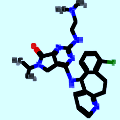 CC(C)N1Cc2c(NC3c4cccnc4CCc4c(F)cccc43)nc(NCCN(C)C)nc2C1=O